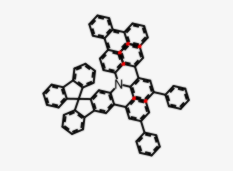 c1ccc(-c2cccc(-c3cc4c(cc3N(c3ccc5c6ccccc6c6ccccc6c5c3)c3ccc(-c5ccccc5)cc3-c3ccccc3)C3(c5ccccc5-c5ccccc53)c3ccccc3-4)c2)cc1